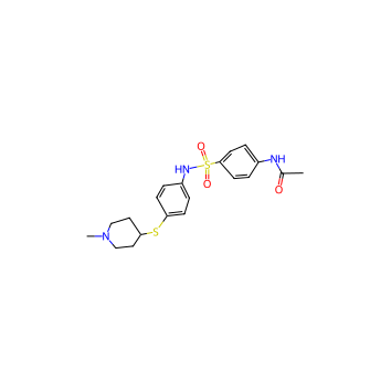 CC(=O)Nc1ccc(S(=O)(=O)Nc2ccc(SC3CCN(C)CC3)cc2)cc1